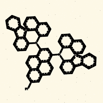 CC(C)c1cc2ccc3c(N(c4cccc5ccccc45)c4cccc5c4oc4ccccc45)cc(N(c4cccc5ccccc45)c4cccc5c4oc4ccccc45)c4ccc(c1)c2c34